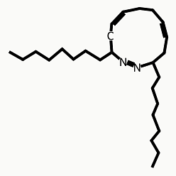 CCCCCCCCC1CC=CCCC=CCC(CCCCCCCC)N=N1